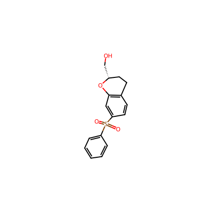 O=S(=O)(c1ccccc1)c1ccc2c(c1)O[C@H](CO)CC2